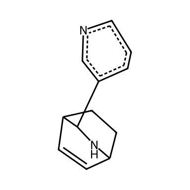 C1=CC2CCC1NC2c1cccnc1